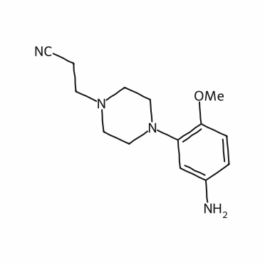 COc1ccc(N)cc1N1CCN(CCC#N)CC1